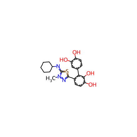 Cn1nc(-c2ccc(O)c(O)c2-c2ccc(O)c(O)c2)sc1=NC1CCCCC1